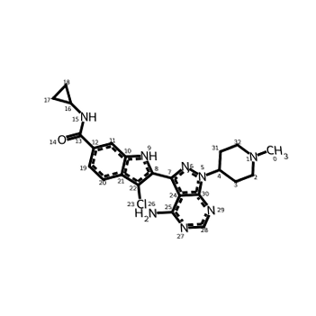 CN1CCC(n2nc(-c3[nH]c4cc(C(=O)NC5CC5)ccc4c3Cl)c3c(N)ncnc32)CC1